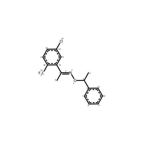 C/C(=N\OC(C)c1ccccc1)c1cc(Cl)ccc1C(F)(F)F